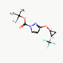 CC(C)(C)OC(=O)n1ccc(O[C@H]2C[C@@H]2C(F)(F)F)n1